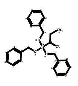 CCC(Cl)[Si](OCc1ccccc1)(OCc1ccccc1)OCc1ccccc1